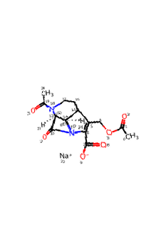 CC(=O)OCC1=C(C(=O)[O-])N2C(=O)[C@@H]3[C@H]2C1CCN3C(C)=O.[Na+]